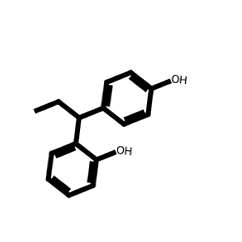 CCC(c1ccc(O)cc1)c1ccccc1O